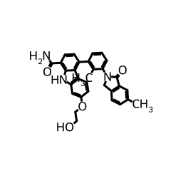 Cc1ccc2c(c1)C(=O)N(c1cccc(-c3ccc(C(N)=O)c4[nH]c5cc(OCCO)ccc5c34)c1C)C2